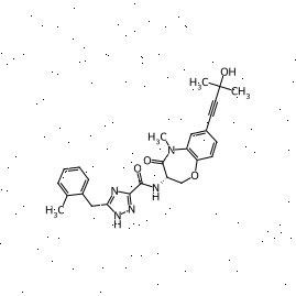 Cc1ccccc1Cc1nc(C(=O)N[C@H]2COc3ccc(C#CC(C)(C)O)cc3N(C)C2=O)n[nH]1